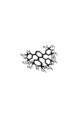 CC1(C)CC(C2CCC(C3CC(C)(C)NC(C)(C)C3)C(C3CC(C)(C)NC(C)(C)C3)C2C2CC(C)(C)NC(C)(C)C2)CC(C)(C)N1